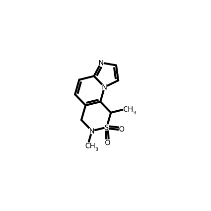 CC1c2c(ccc3nccn23)CN(C)S1(=O)=O